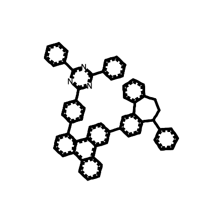 c1ccc(-c2nc(-c3ccccc3)nc(-c3ccc(-c4cccc5c6ccccc6c6cc(-c7ccc8c(c7)-c7ccccc7CCC8c7ccccc7)ccc6c45)cc3)n2)cc1